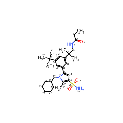 CCC(=O)NCC(C)(C)c1cc(-c2cc(S(N)(=O)=O)c(C)n2CC2CCCCC2)cc(C(C)(C)C)c1